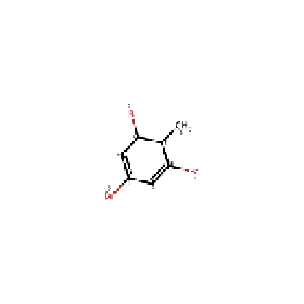 CC1C(Br)=CC(Br)=CC1Br